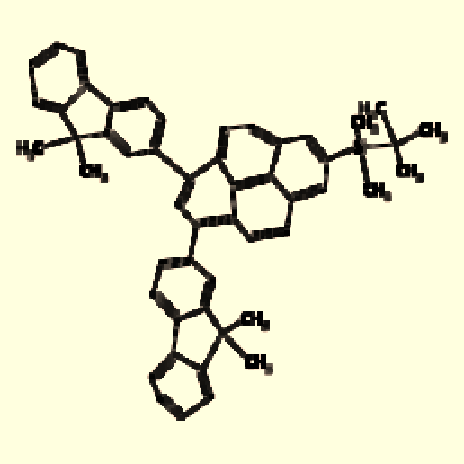 CC1(C)c2ccccc2-c2ccc(-c3cc(-c4ccc5c(c4)C(C)(C)c4ccccc4-5)c4ccc5cc([Si](C)(C)C(C)(C)C)cc6ccc3c4c65)cc21